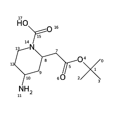 CC(C)(C)OC(=O)CC1CC(N)CCN1C(=O)O